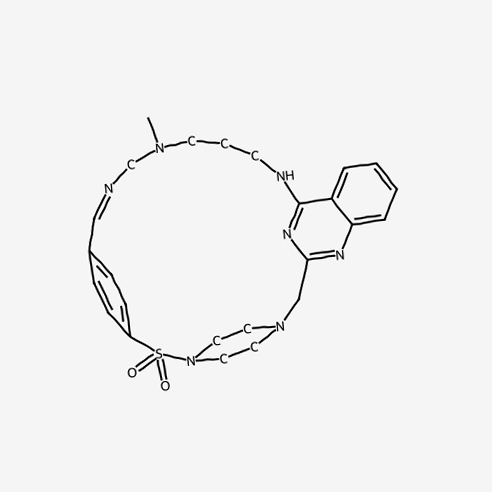 CN1CCCNc2nc(nc3ccccc23)CN2CCN(CC2)S(=O)(=O)c2ccc(cc2)C=NC1